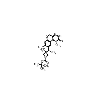 Cc1cc2c(cc1[C@@H](C)C1(C)CN(C(=O)OC(C)(C)C)C1)N1C(=NNC(=O)[C@H]1C)CO2